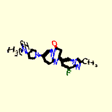 Cc1cn2cc(-c3cc(=O)n4cc(N5CCC(N(C)C)CC5)ccc4n3)cc(F)c2n1